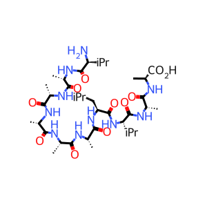 CC(C)C[C@H](NC(=O)[C@H](C)NC(=O)[C@H](C)NC(=O)[C@H](C)NC(=O)[C@H](C)NC(=O)[C@H](C)NC(=O)[C@@H](N)C(C)C)C(=O)N[C@H](C(=O)N[C@@H](C)C(=O)N[C@@H](C)C(=O)O)C(C)C